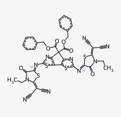 CCN1C(=O)/C(=N/c2nc3c(s2)-c2sc(/N=C4\SC(=C(C#N)C#N)N(CC)C4=O)nc2C3(C(=O)OCc2ccccc2)C(=O)OCc2ccccc2)SC1=C(C#N)C#N